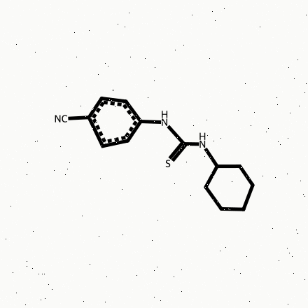 N#Cc1ccc(NC(=S)NC2CCCCC2)cc1